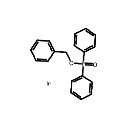 O=P(OCc1ccccc1)(c1ccccc1)c1ccccc1.[Ir]